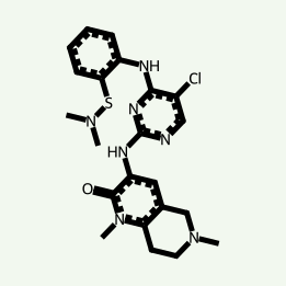 CN1CCc2c(cc(Nc3ncc(Cl)c(Nc4ccccc4SN(C)C)n3)c(=O)n2C)C1